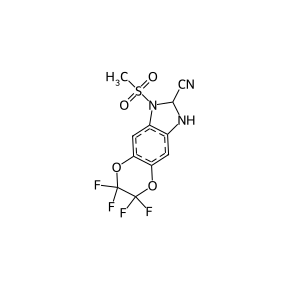 CS(=O)(=O)N1c2cc3c(cc2NC1C#N)OC(F)(F)C(F)(F)O3